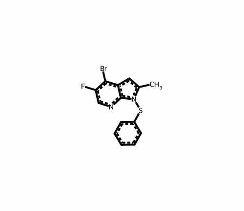 Cc1cc2c(Br)c(F)cnc2n1Sc1ccccc1